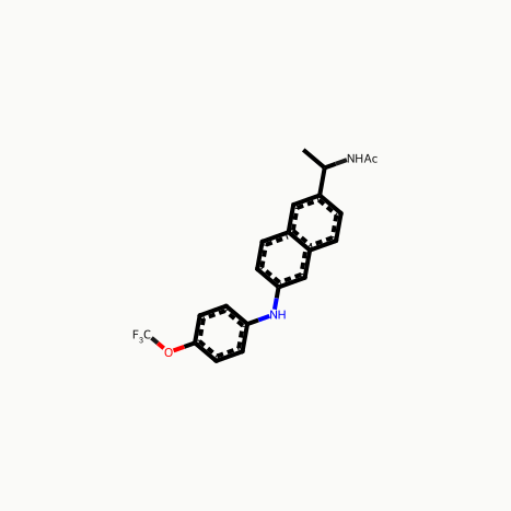 CC(=O)NC(C)c1ccc2cc(Nc3ccc(OC(F)(F)F)cc3)ccc2c1